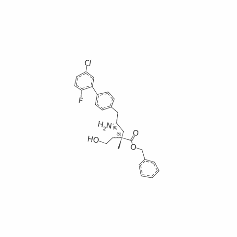 C[C@@](CCO)(C[C@H](N)Cc1ccc(-c2cc(Cl)ccc2F)cc1)C(=O)OCc1ccccc1